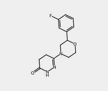 O=C1CCC(N2CCOC(c3cccc(F)c3)C2)=NN1